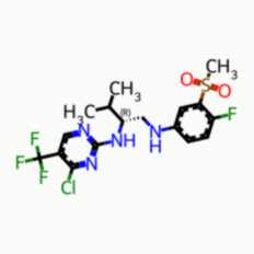 CC(C)[C@H](CNc1ccc(F)c(S(C)(=O)=O)c1)Nc1ncc(C(F)(F)F)c(Cl)n1